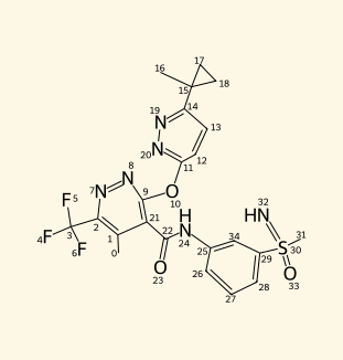 Cc1c(C(F)(F)F)nnc(Oc2ccc(C3(C)CC3)nn2)c1C(=O)Nc1cccc(S(C)(=N)=O)c1